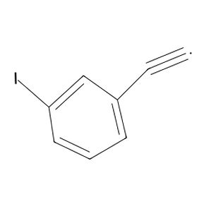 [C]#Cc1cccc(I)c1